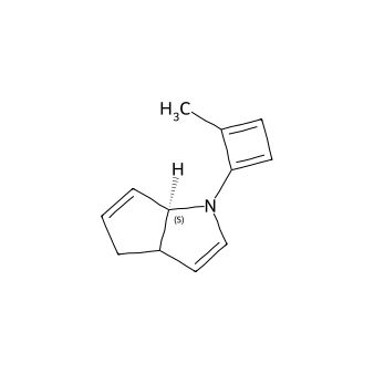 CC1=CC=C1N1C=CC2CC=C[C@H]21